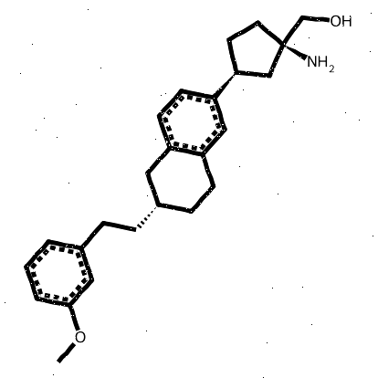 COc1cccc(CC[C@H]2CCc3cc([C@H]4CC[C@](N)(CO)C4)ccc3C2)c1